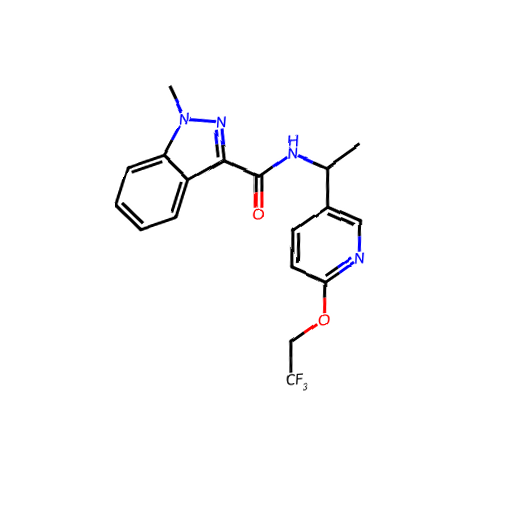 CC(NC(=O)c1nn(C)c2ccccc12)c1ccc(OCC(F)(F)F)nc1